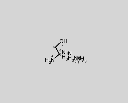 N.N.N.N.NCCO